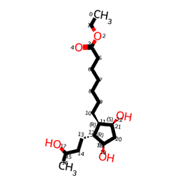 CCOC(=O)CCCCCC[C@@H]1[C@@H](CCC(C)O)[C@H](O)C[C@@H]1O